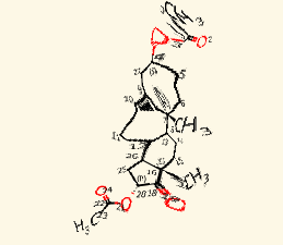 CC(=O)O[C@H]1CC[C@@]2(C)C(=CCC3C2CC[C@]2(C)C(=O)[C@H](OC(C)=O)CC32)C1